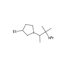 CCCC(C)(C)C(C)I1CCC(CC)C1